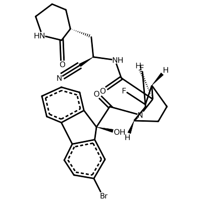 N#C[C@@H](C[C@H]1CCCNC1=O)NC(=O)[C@H]1[C@@H]2CC[C@@H](CC2(F)F)N1C(=O)[C@@]1(O)c2ccccc2-c2ccc(Br)cc21